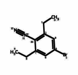 CCc1cc(Br)cc(CC)c1[N+]#N